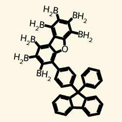 Bc1c(B)c(B)c2c(oc3c(-c4ccc(C5(c6ccccc6)c6ccccc6-c6ccccc65)cc4)c(B)c(B)c(B)c32)c1B